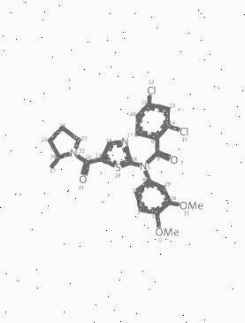 COc1ccc(N(C(=O)c2ccc(Cl)cc2Cl)c2ncc(C(=O)N3CCCC3C)s2)cc1OC